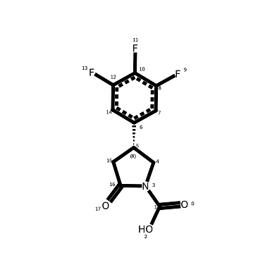 O=C(O)N1C[C@@H](c2cc(F)c(F)c(F)c2)CC1=O